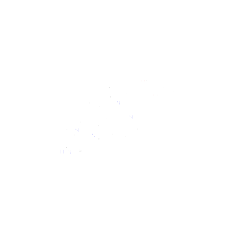 CCOC(=O)CCN(C(=O)c1ccc2c(c1)nc(CN)n2C)c1ccccn1